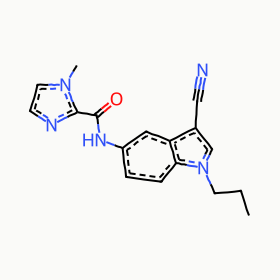 CCCn1cc(C#N)c2cc(NC(=O)c3nccn3C)ccc21